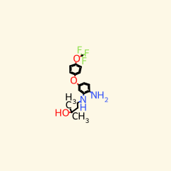 CC(C)(O)CCNc1cc(Oc2ccc(OC(F)(F)F)cc2)ccc1N